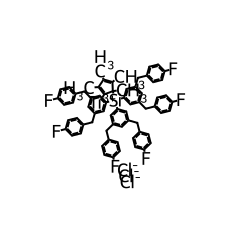 CC1=C(C)C(C)([Si](c2cc(Cc3ccc(F)cc3)cc(Cc3ccc(F)cc3)c2)(c2cc(Cc3ccc(F)cc3)cc(Cc3ccc(F)cc3)c2)c2cc(Cc3ccc(F)cc3)cc(Cc3ccc(F)cc3)c2)[C]([Ti+3])=C1C.[Cl-].[Cl-].[Cl-]